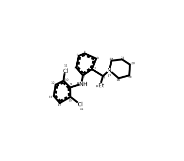 CCC(c1ccccc1Nc1c(Cl)cccc1Cl)N1CCCCC1